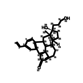 C=Cc1ccc2c(c1)C[C@]13CCC(=O)C=C1CC[C@@H]1C3C2C[C@@]2(C)[C@@H]1CC[C@]2(O)CCCO